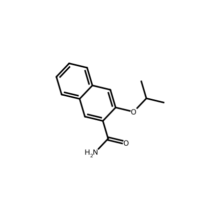 CC(C)Oc1cc2ccccc2cc1C(N)=O